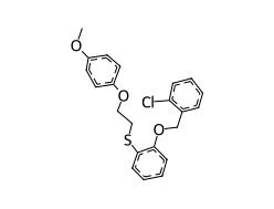 COc1ccc(OCCSc2ccccc2OCc2ccccc2Cl)cc1